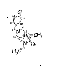 CCN1CC2(CCN(Cc3ccc(Cl)cc3)CC2)O[C@H](C)C1=O